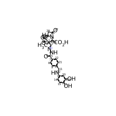 C[C@]1(/C=N/NC(=O)c2ccc(CNc3ccc(O)c(O)c3)cc2)[C@H](C(=O)O)N2C(=O)C[C@H]2S1(=O)=O